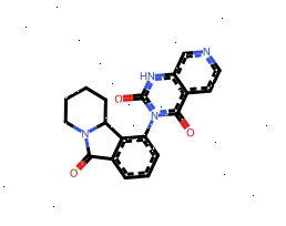 O=C1c2cccc(-n3c(=O)[nH]c4cnccc4c3=O)c2C2CCCCN12